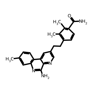 Cc1ccc2c(c1)nc(N)c1ncc(CCc3ccc(C(N)=O)c(C)c3C)cc12